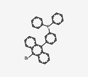 Brc1c2ccccc2c(-c2cccc(P(c3ccccc3)c3ccccc3)c2)c2ccccc12